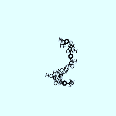 CC(=O)N[C@H](C(=O)N1C[C@H](O)C[C@H]1C(=O)N[C@@H](C)c1ccc(-c2scnc2C)cc1)C(C)(C)CN1CCN(CC2(CNc3ccc(C(=O)N[C@H]4C(C)(C)[C@H](Oc5ccc(C#N)c(C(F)(F)F)c5)C4(C)C)cc3)COC2)CC1